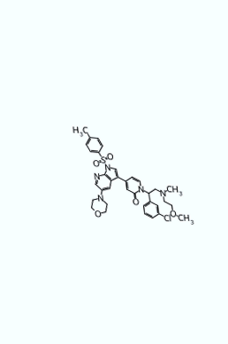 COCCN(C)CC(c1cccc(Cl)c1)n1ccc(-c2cn(S(=O)(=O)c3ccc(C)cc3)c3ncc(N4CCOCC4)cc23)cc1=O